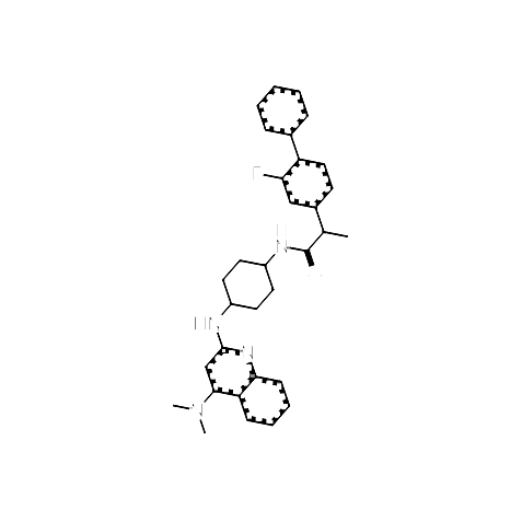 CC(C(=O)NC1CCC(Nc2cc(N(C)C)c3ccccc3n2)CC1)c1ccc(-c2ccccc2)c(F)c1